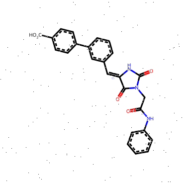 O=C(CN1C(=O)N/C(=C\c2cccc(-c3ccc(C(=O)O)cc3)c2)C1=O)Nc1ccccc1